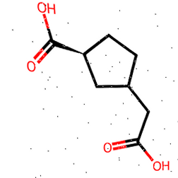 O=C(O)CC1CC[C@H](C(=O)O)C1